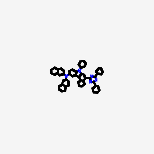 c1ccc(-c2nc(-c3ccccc3)nc(-c3cc4c(c5ccccc35)c3cc(N(c5ccc6ccccc6c5)c5ccc6ccccc6c5)ccc3n4-c3ccccc3)n2)cc1